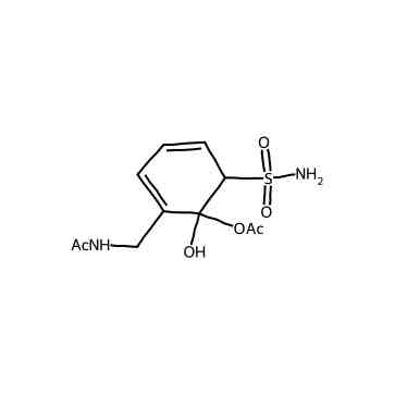 CC(=O)NCC1=CC=CC(S(N)(=O)=O)C1(O)OC(C)=O